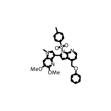 COc1cc2c(nc1OC)c(-c1cc3c(COc4ccccc4)ccnc3n1S(=O)(=O)c1ccc(C)cc1)cn2C